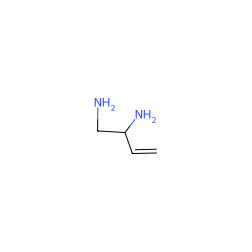 C=CC(N)CN